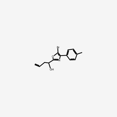 C=CCC(O)c1nc(-c2ccc(C)cc2)c(Br)o1